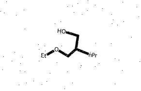 CCC[C](CO)COCC